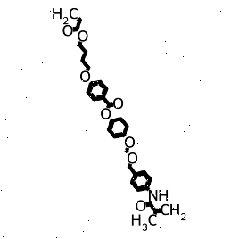 C=CC(=O)OCCCCOc1ccc(C(=O)OC2=CC=C(OCOCc3ccc(NC(=O)C(=C)C)cc3)CC2)cc1